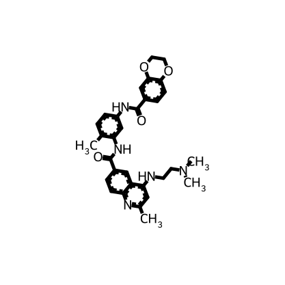 Cc1cc(NCCN(C)C)c2cc(C(=O)Nc3cc(NC(=O)c4ccc5c(c4)OCCO5)ccc3C)ccc2n1